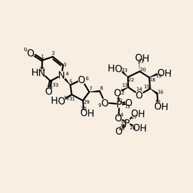 O=c1ccn([C@H]2O[C@@H](COP(=O)(O[C@@H]3O[C@H](CO)[C@H](O)[C@@H](O)[C@@H]3O)OP(=O)(O)O)C(O)C2O)c(=O)[nH]1